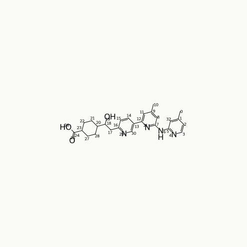 Cc1ccnc(Nc2cc(C)cc(-c3ccc(CC(O)C4CCC(C(=O)O)CC4)nc3)n2)c1